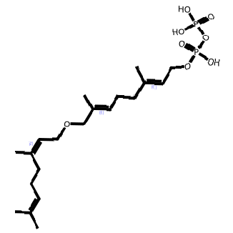 CC(C)=CCC/C(C)=C\COC/C(C)=C/CC/C(C)=C/COP(=O)(O)OP(=O)(O)O